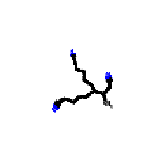 CC(CC#N)[C](CCCCC#N)CCCCC#N